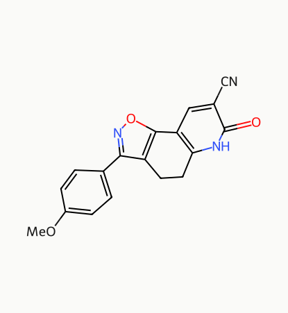 COc1ccc(-c2noc3c2CCc2[nH]c(=O)c(C#N)cc2-3)cc1